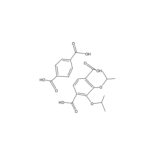 CC(C)Oc1c(C(=O)O)ccc(C(=O)O)c1OC(C)C.O=C(O)c1ccc(C(=O)O)cc1